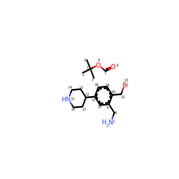 CC(C)(C)OC=O.NCc1cc(C2CCNCC2)ccc1CBr